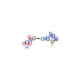 O=C1CCC(N2Cc3cc(C#CC4CCN(c5cccc(-c6cnc7ccc(N8CCC[C@@H]8c8cccc(F)c8)nn67)n5)CC4)ccc3C2=O)C(=O)N1